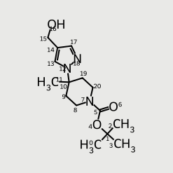 CC(C)(C)OC(=O)N1CCC(C)(n2cc(CO)cn2)CC1